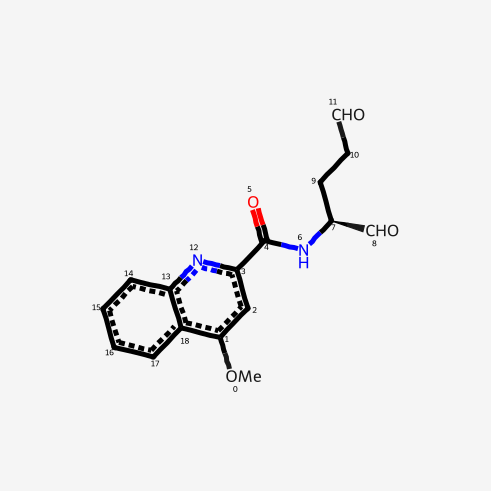 COc1cc(C(=O)N[C@H](C=O)CCC=O)nc2ccccc12